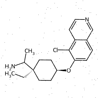 CC[C@]1(C(C)N)CC[C@@H](Oc2ccc3cnccc3c2Cl)CC1